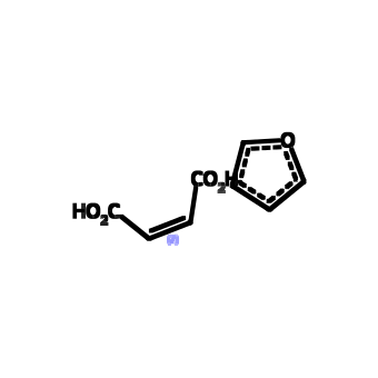 O=C(O)/C=C\C(=O)O.c1ccoc1